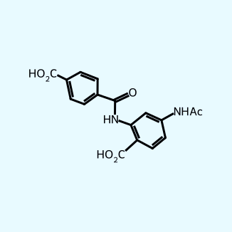 CC(=O)Nc1ccc(C(=O)O)c(NC(=O)c2ccc(C(=O)O)cc2)c1